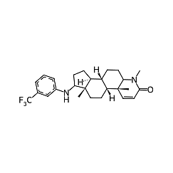 CN1C(=O)C=C[C@@]2(C)C1CC[C@@H]1[C@H]2CC[C@]2(C)C(Nc3cccc(C(F)(F)F)c3)CC[C@@H]12